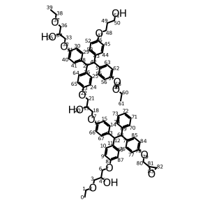 CCOCC(O)COc1ccc(C(c2ccc(OCC(O)COc3ccc(C(c4ccc(OCC(O)COCC)cc4)C(c4ccc(OCCCO)cc4)c4ccc(OOCC)cc4)cc3)cc2)C(c2ccccc2)c2ccc(OCC3CO3)cc2)cc1